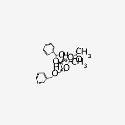 CC(=O)OC1(C)O[C@H](COCc2ccccc2)[C@H]2OC(c3ccccc3)O[C@H]21